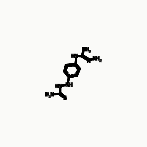 NN=C(N)Nc1ccc(NNC(N)=S)cc1